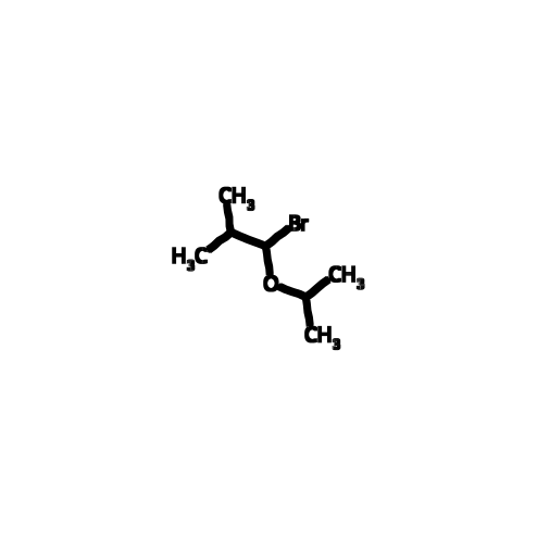 CC(C)OC(Br)C(C)C